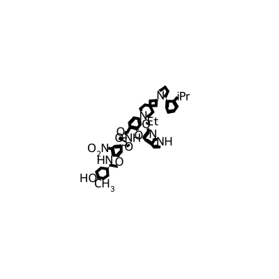 CCOc1nc2[nH]ccc2cc1Oc1cc(N2CCC3(CC2)CC(N2CCC[C@@H]2c2ccccc2C(C)C)C3)ccc1C(=O)NS(=O)(=O)c1cc2c(c([N+](=O)[O-])c1)N[C@@H](C1CCC(C)(O)CC1)CO2